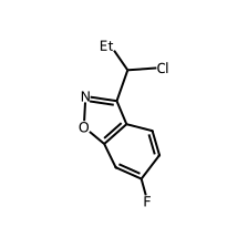 CCC(Cl)c1noc2cc(F)ccc12